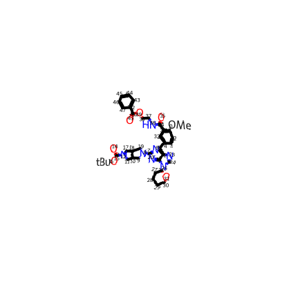 COc1ccc(-c2nc(N3CC4CN(C(=O)OC(C)(C)C)CC4C3)nc3c2ncn3C2CCCCO2)cc1C(=O)NCCOC(=O)c1ccccc1